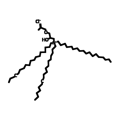 C=C(C)COCC(O)C[N+](CCCCCCCCCCCCCCCCCC)(CCCCCCCCCCCCCCCCCC)CCCCCCCCCCCCCCCCCC.[Cl-]